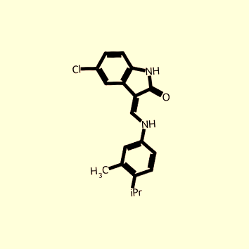 Cc1cc(NC=C2C(=O)Nc3ccc(Cl)cc32)ccc1C(C)C